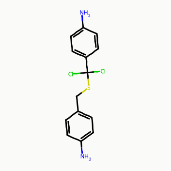 Nc1ccc(CSC(Cl)(Cl)c2ccc(N)cc2)cc1